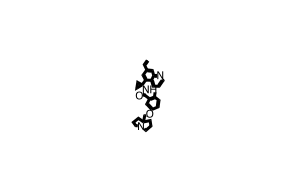 C=Cc1cc(C2(NC(=O)c3cc(OCC45CCCN4CCC5)ccc3C)CC2)c2cccnc2c1